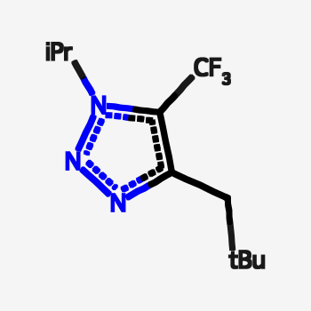 CC(C)n1nnc(CC(C)(C)C)c1C(F)(F)F